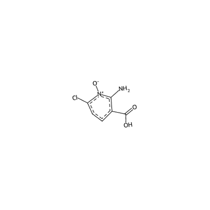 Nc1c(C(=O)O)ccc(Cl)[n+]1[O-]